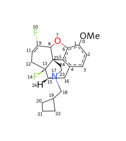 COc1ccc2c3c1OC1C(F)=CC[C@@]4(F)[C@@H](C2)N(CC2CCC2)CC[C@]314